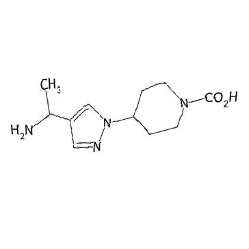 CC(N)c1cnn(C2CCN(C(=O)O)CC2)c1